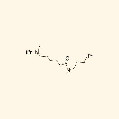 CC(C)CCCN(C)C(=O)CCCCCN(C)C(C)C